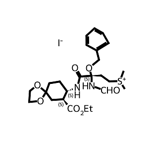 CCOC(=O)[C@H]1CC2(CC[C@@H]1NC(=O)[C@@](CC[S+](C)C)(NC=O)OCc1ccccc1)OCCO2.[I-]